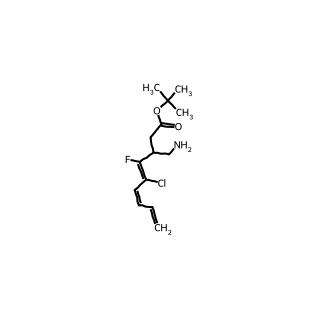 C=C/C=C\C(Cl)=C(/F)C(CN)CC(=O)OC(C)(C)C